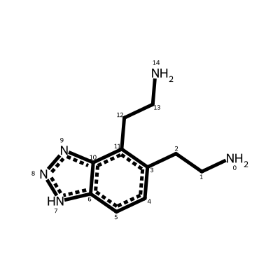 NCCc1ccc2[nH]nnc2c1CCN